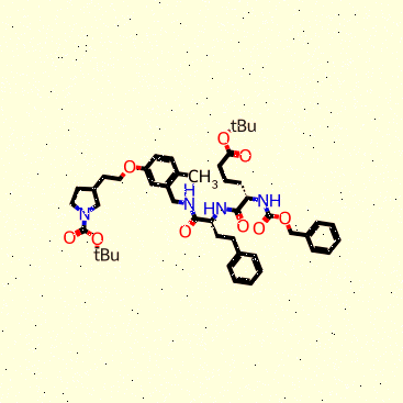 Cc1ccc(OCCC2CCN(C(=O)OC(C)(C)C)C2)cc1CNC(=O)[C@H](CCc1ccccc1)NC(=O)[C@H](CCCC(=O)OC(C)(C)C)NC(=O)OCc1ccccc1